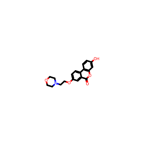 O=c1oc2cc(O)ccc2c2ccc(OCCN3CCOCC3)cc12